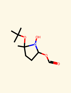 CC(C)(C)OC1(C)CCC(OC=O)N1O